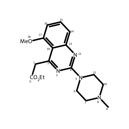 CCOC(=O)Cc1nc(N2CCN(C)CC2)nc2cccc(OC)c12